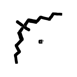 CCCCC=C[N+](C)(C)C=CCCCC.[Cl-]